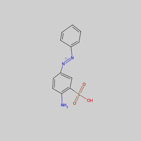 Nc1ccc(/N=N/c2ccccc2)cc1S(=O)(=O)O